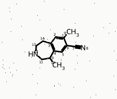 Cc1cc2c(cc1C#N)C(C)CNCC2